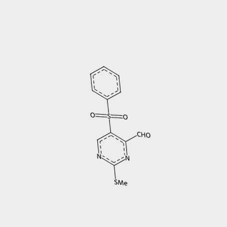 CSc1ncc(S(=O)(=O)c2ccccc2)c(C=O)n1